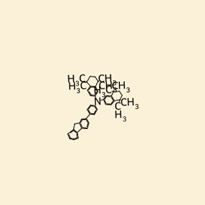 CC1(C)CCC(C)(C)c2cc(N(c3ccc(-c4ccc5c(c4)Cc4ccccc4-5)cc3)c3ccc4c(c3)C(C)(C)CCC4(C)C)ccc21